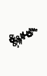 CNc1nccc(-c2sc(NC(=O)Nc3cc(C(F)(F)F)ccc3C(F)(F)F)nc2C)n1